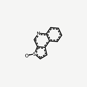 [O-][s+]1ccc2c3ccccc3ncc21